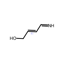 N=C/C=C/CO